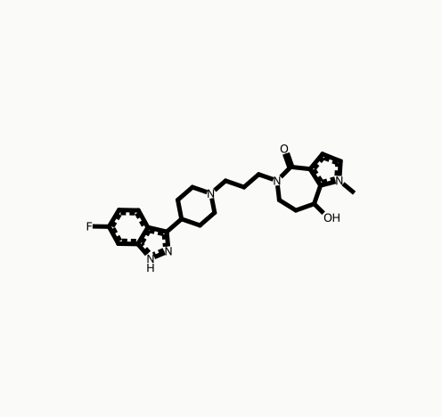 Cn1ccc2c1C(O)CCN(CCCN1CCC(c3n[nH]c4cc(F)ccc34)CC1)C2=O